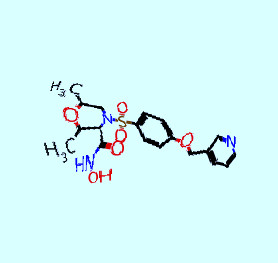 CC1O[C@@H](C)CN(S(=O)(=O)c2ccc(OCc3cccnc3)cc2)[C@H]1C(=O)NO